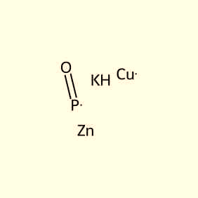 O=[P].[Cu].[KH].[Zn]